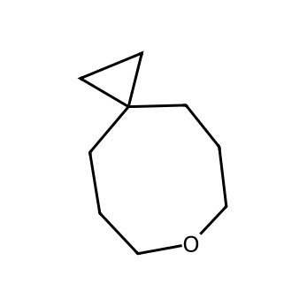 C1COCCCC2(C1)CC2